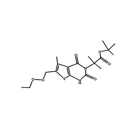 CCOOCc1sc2[nH]c(=O)n(C(C)(C)C(=O)OC(C)(C)C)c(=O)c2c1C